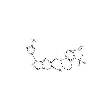 Cc1cc2cnn(-c3cnn(C)c3)c2cc1OC1CCCc2c1ncc(C#N)c2C(F)(F)F